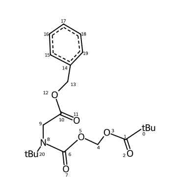 CC(C)(C)C(=O)OCOC(=O)N(CC(=O)OCc1ccccc1)C(C)(C)C